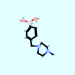 CN1CCN(Cc2ccc(B(O)O)cc2)CC1